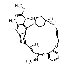 C=NN1/C=C(\C)c2cc3nc(C)c([C@H](O)C(=O)OC)c(n3n2)N2CCC(C)(CC/C=C/COc3ccccc3C1)CC2